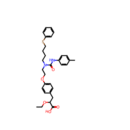 CCOC(Cc1ccc(OCCN(CCCCSc2ccccc2)C(=O)Nc2ccc(C)cc2)cc1)C(=O)O